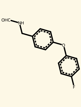 O=CNCc1ccc(Oc2ccc(F)cc2)cc1